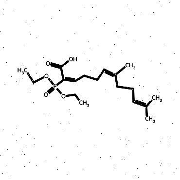 CCOP(=O)(OCC)C(=CCCC=C(C)CCC=C(C)C)C(=O)O